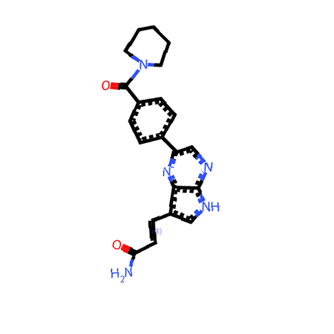 NC(=O)/C=C/c1c[nH]c2ncc(-c3ccc(C(=O)N4CCCCC4)cc3)nc12